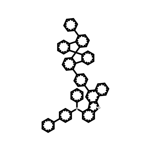 c1ccc(-c2ccc(N(c3ccccc3)c3cccc4oc5c6ccccc6c(-c6ccc(-c7cccc8c7-c7ccccc7C87c8ccccc8-c8c(-c9ccccc9)cccc87)cc6)cc5c34)cc2)cc1